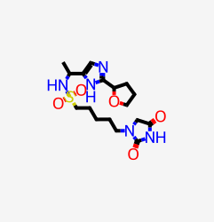 CC(NS(=O)(=O)CCCCCN1CC(=O)NC1=O)c1cnc(C2CCCO2)[nH]1